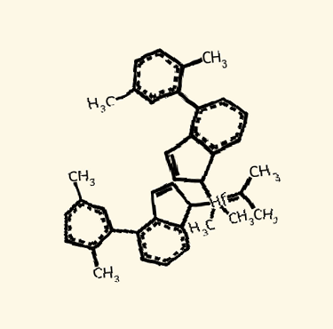 C[C](C)=[Hf]([CH3])([CH3])([CH]1C=Cc2c(-c3cc(C)ccc3C)cccc21)[CH]1C=Cc2c(-c3cc(C)ccc3C)cccc21